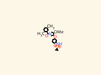 CO[C@@H]1CN(C(=O)c2cc(C)ccc2C)C[C@H]1Oc1cccc(NS(=O)(=O)C2CC2)c1